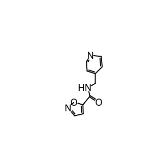 O=C(NCc1ccncc1)c1ccno1